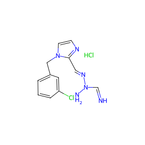 Cl.N=CN(N)/N=C/c1nccn1Cc1cccc(Cl)c1